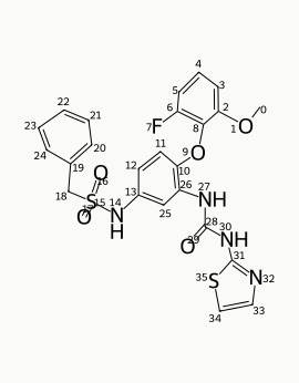 COc1cccc(F)c1Oc1ccc(NS(=O)(=O)Cc2ccccc2)cc1NC(=O)Nc1nccs1